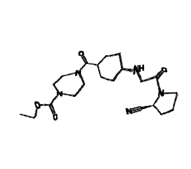 CCOC(=O)N1CCN(C(=O)C2CCC(NCC(=O)N3CCC[C@H]3C#N)CC2)CC1